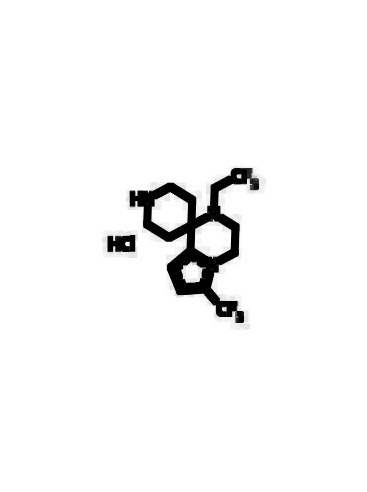 Cl.FC(F)(F)CN1CCn2c(C(F)(F)F)ccc2C12CCNCC2